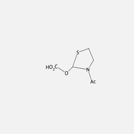 CC(=O)N1CCSC1OC(=O)O